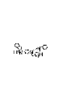 O=C(O)N(CCCN(Cc1ccccc1)Cc1ccccc1)c1ccc(-c2n[nH]c3c2Cc2ccccc2-3)cc1